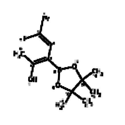 C/C(O)=C(\C=C(/F)C(C)C)B1OC(C)(C)C(C)(C)O1